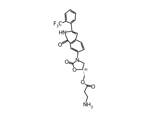 NCCC(=O)OC[C@H]1CN(c2ccc3cc(-c4ccccc4C(F)(F)F)[nH]c(=O)c3c2)C(=O)O1